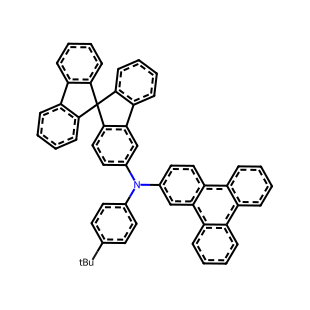 CC(C)(C)c1ccc(N(c2ccc3c(c2)-c2ccccc2C32c3ccccc3-c3ccccc32)c2ccc3c4ccccc4c4ccccc4c3c2)cc1